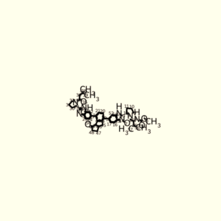 COC(=O)N[C@H](C(=O)N1CCC[C@H]1c1nc2ccc(-c3ccc(-c4ccc5nc([C@@H]6CCCN6C(=O)CC(C)C)[nH]c5c4)c4c3CC3CCC(=O)C43)cc2[nH]1)C(C)C